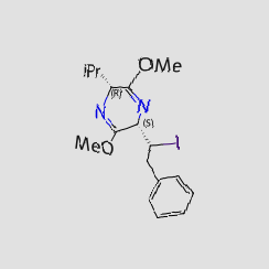 COC1=N[C@H](C(I)Cc2ccccc2)C(OC)=N[C@@H]1C(C)C